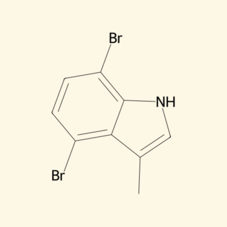 Cc1c[nH]c2c(Br)ccc(Br)c12